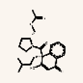 CC(=O)OC[C@H]1CCCN1C(=O)[C@]1(CCC(C)C)C(O)=CC(=O)c2ccccc21